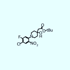 CC(C)(C)OC(=O)CC1(O)CCN(c2cc(F)c(Cl)cc2[N+](=O)[O-])CC1